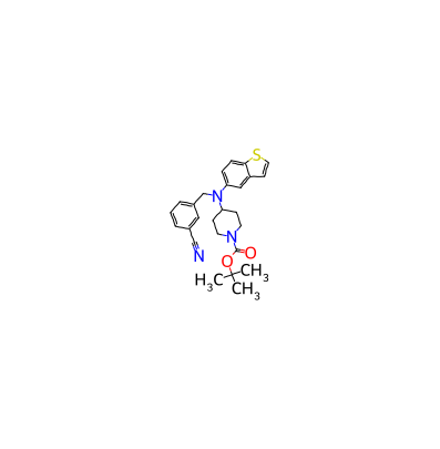 CC(C)(C)OC(=O)N1CCC(N(Cc2cccc(C#N)c2)c2ccc3sccc3c2)CC1